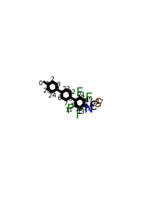 Cc1ccc(-c2ccc(-c3c(F)c(F)c(N=C=S)c(F)c3F)cc2)cc1